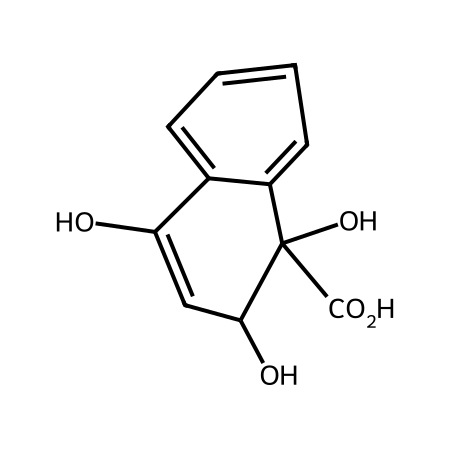 O=C(O)C1(O)c2ccccc2C(O)=CC1O